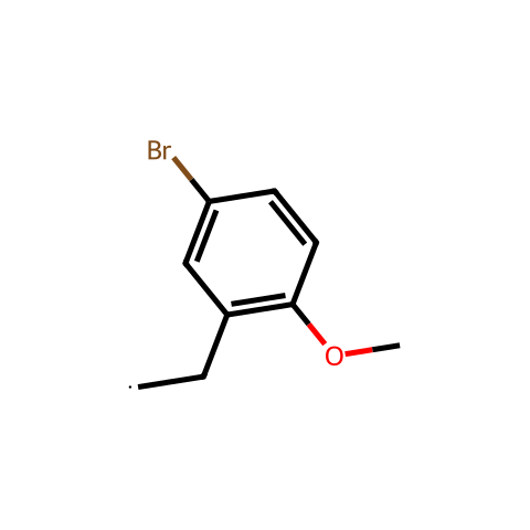 [CH2]Cc1cc(Br)ccc1OC